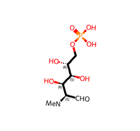 CN[C@H](C=O)[C@@H](O)[C@H](O)[C@H](O)COP(=O)(O)O